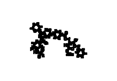 CC(C)(C)OC(=O)N[C@@H](COC(=O)c1ccc(-c2cnc3c(c2)c(C(=O)c2ccc(F)c(NS(C)(=O)=O)c2F)nn3C2CCCCO2)cc1)C(=O)OCc1ccccc1